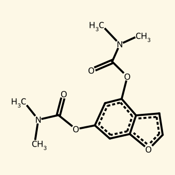 CN(C)C(=O)Oc1cc(OC(=O)N(C)C)c2ccoc2c1